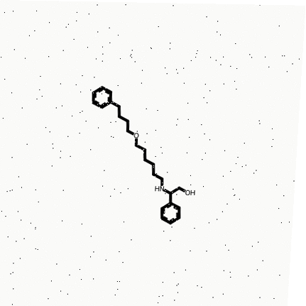 OCC(NCCCCCCOCCCCc1ccccc1)c1ccccc1